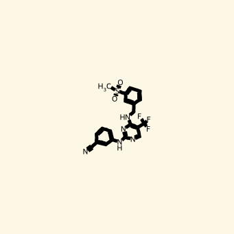 CS(=O)(=O)c1cccc(CNc2nc(Nc3cccc(C#N)c3)ncc2C(F)(F)F)c1